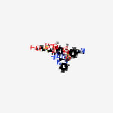 COc1cc(Nc2nc3ccccc3nc2NS(=O)(=O)c2ccc(C#N)cc2)c(OCC[S+]([O-])CCO)c(OC)c1